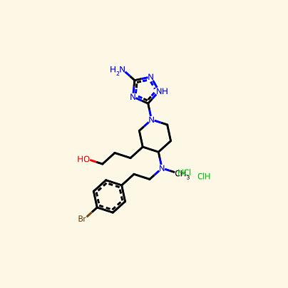 CN(CCc1ccc(Br)cc1)C1CCN(c2nc(N)n[nH]2)CC1CCCO.Cl.Cl